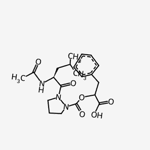 CC(=O)N[C@@H](CC(C)C)C(=O)N1CCCN1C(=O)OC(Cc1ccccc1)C(=O)O